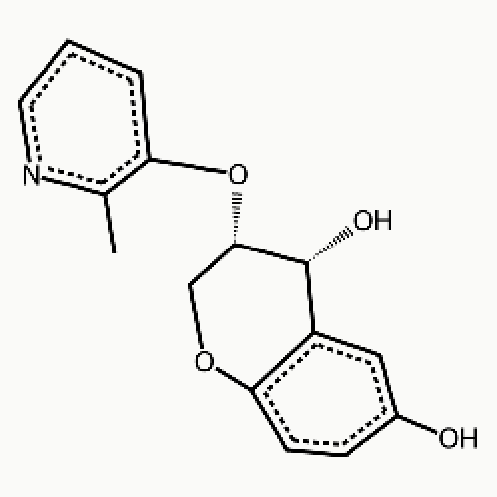 Cc1ncccc1O[C@H]1COc2ccc(O)cc2[C@H]1O